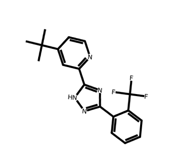 CC(C)(C)c1ccnc(-c2nc(-c3ccccc3C(F)(F)F)n[nH]2)c1